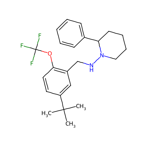 CC(C)(C)c1ccc(OC(F)(F)F)c(CNN2CCCCC2c2ccccc2)c1